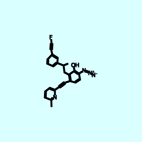 Cc1cccc(C#Cc2ccc(N=[N+]=[N-])c(O)c2CC(C)c2cccc(C#CF)c2)n1